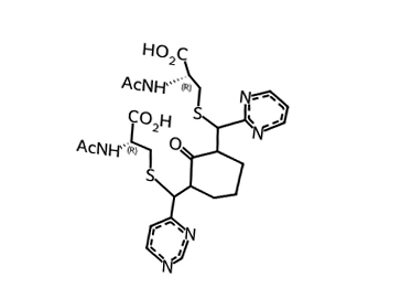 CC(=O)N[C@@H](CSC(c1ccncn1)C1CCCC(C(SC[C@H](NC(C)=O)C(=O)O)c2ncccn2)C1=O)C(=O)O